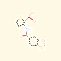 O=C(Nc1ccsc1C(=O)O)c1ccc2c(c1)OCO2